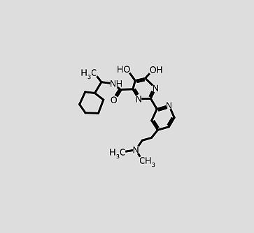 CC(NC(=O)c1nc(-c2cc(CCN(C)C)ccn2)nc(O)c1O)C1CCCCC1